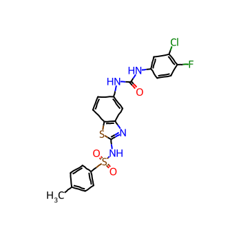 Cc1ccc(S(=O)(=O)Nc2nc3cc(NC(=O)Nc4ccc(F)c(Cl)c4)ccc3s2)cc1